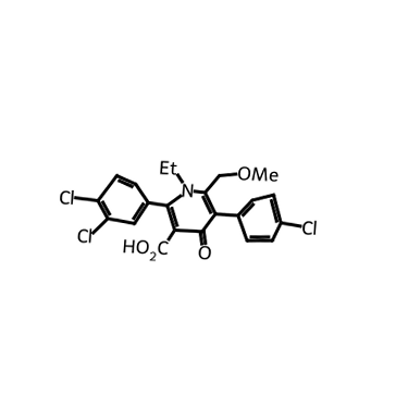 CCn1c(COC)c(-c2ccc(Cl)cc2)c(=O)c(C(=O)O)c1-c1ccc(Cl)c(Cl)c1